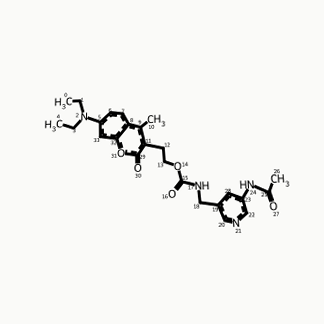 CCN(CC)c1ccc2c(C)c(CCOC(=O)NCc3cncc(NC(C)=O)c3)c(=O)oc2c1